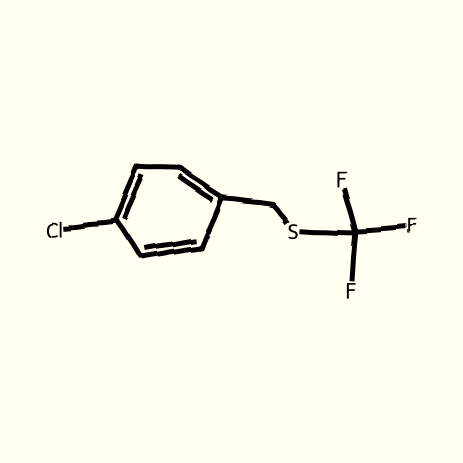 FC(F)(F)SCc1ccc(Cl)cc1